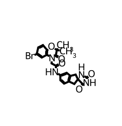 CC1(C)Oc2ccc(Br)cc2N(CC(=O)Nc2ccc3c(c2)CC2(C3)NC(=O)NC2=O)C1=O